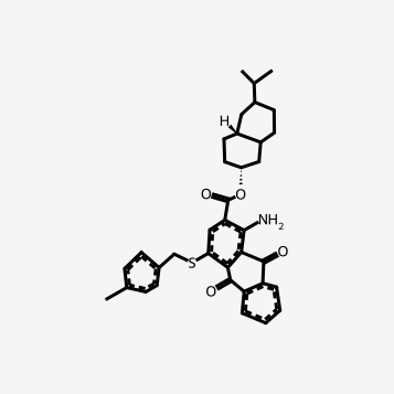 Cc1ccc(CSc2cc(C(=O)O[C@@H]3CC[C@@H]4CC(C(C)C)CCC4C3)c(N)c3c2C(=O)c2ccccc2C3=O)cc1